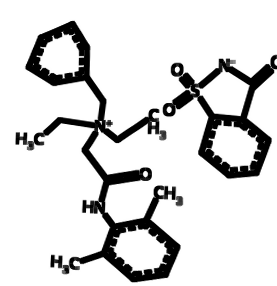 CC[N+](CC)(CC(=O)Nc1c(C)cccc1C)Cc1ccccc1.O=C1[N-]S(=O)(=O)c2ccccc21